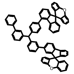 c1ccc(-c2cccc(C(c3ccc(-c4cccc5c4-c4ccccc4C54c5ccccc5Oc5ccccc54)cc3)c3cccc(-c4ccc5c(c4)C4(c6ccccc6Oc6ccccc64)c4ccccc4-5)c3)c2)cc1